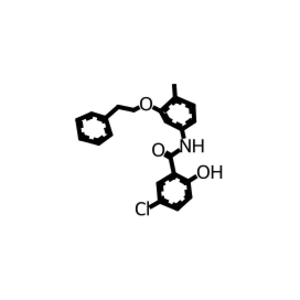 Cc1ccc(NC(=O)c2cc(Cl)ccc2O)cc1OCCc1ccccc1